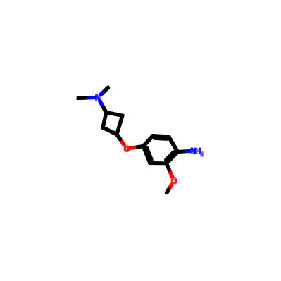 COc1cc(OC2CC(N(C)C)C2)ccc1N